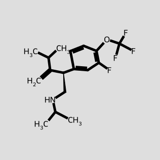 C=C(C(C)C)[C@H](CNC(C)C)c1ccc(OC(F)(F)F)c(F)c1